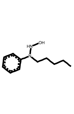 CCCCCN(NO)c1ccccc1